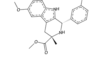 COC(=O)[C@]1(C)Cc2c([nH]c3ccc(OC)cc23)[C@H](c2cccc(O)c2)N1